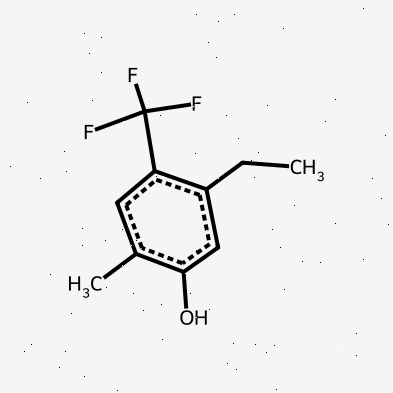 CCc1cc(O)c(C)cc1C(F)(F)F